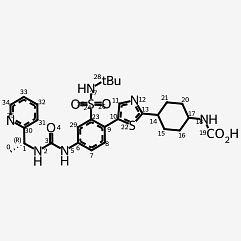 C[C@@H](NC(=O)Nc1ccc(-c2cnc(C3CCC(NC(=O)O)CC3)s2)c(S(=O)(=O)NC(C)(C)C)c1)c1ccccn1